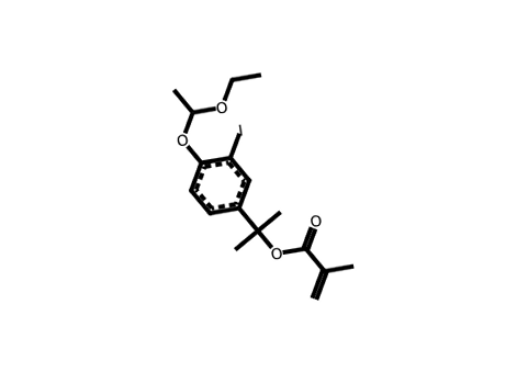 C=C(C)C(=O)OC(C)(C)c1ccc(OC(C)OCC)c(I)c1